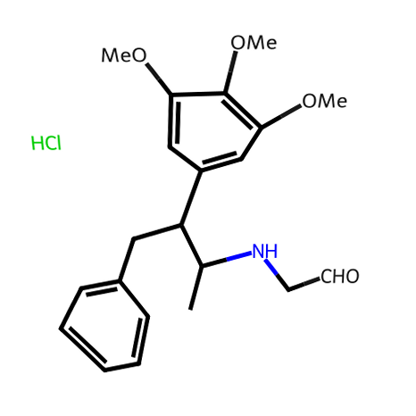 COc1cc(C(Cc2ccccc2)C(C)NCC=O)cc(OC)c1OC.Cl